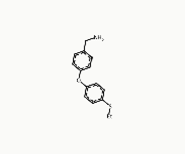 CCSc1ccc(Oc2ccc(CN)cc2)cc1